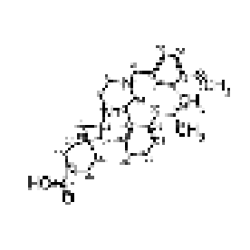 COc1ccc(CN2CCN(C3CC4(CCN(C(=O)O)CC4)C3)C(c3ccccc3CC(C)C)C2)cc1